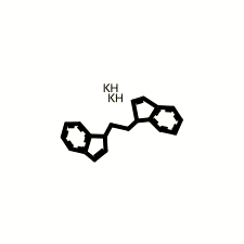 C1=CC(CCC2C=Cc3ccccc32)c2ccccc21.[KH].[KH]